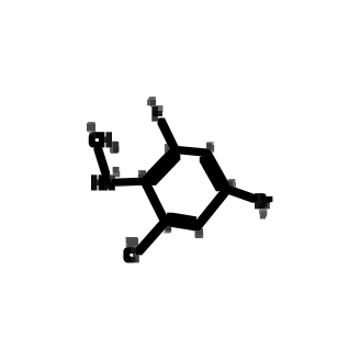 CNc1c(F)cc(Br)cc1Cl